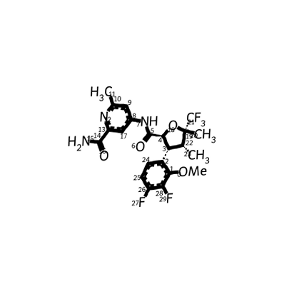 COc1c([C@@H]2[C@@H](C(=O)Nc3cc(C)nc(C(N)=O)c3)O[C@](C)(C(F)(F)F)[C@@H]2C)ccc(F)c1F